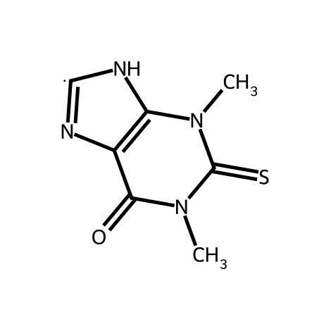 Cn1c(=O)c2n[c][nH]c2n(C)c1=S